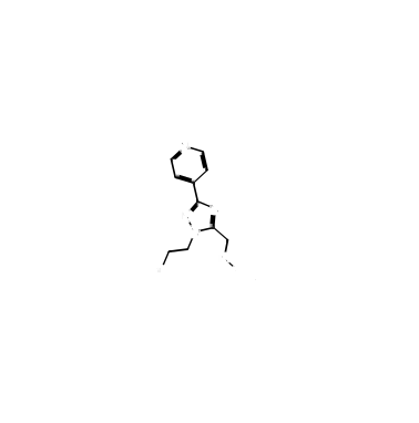 O=C(O)NCc1nc(-c2ccncc2)nn1CCBr